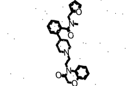 CN(Cc1ccco1)C(=O)c1ccccc1C1CCN(CCN2C(=O)COc3ccccc32)CC1